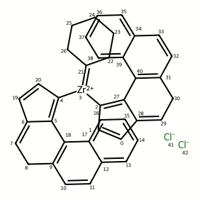 C1=C[C]([Zr+2]([C]2=C3C(=CCc4ccc5ccccc5c43)C=C2)=[C]2CCCCC2)=C2C1=CCc1ccc3ccccc3c12.[Cl-].[Cl-]